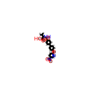 CC(C)[C@@H](NS(=O)(=O)c1ccc(-c2ccc(Oc3ccc([N+](=O)[O-])cn3)cc2)cc1)C(=O)O